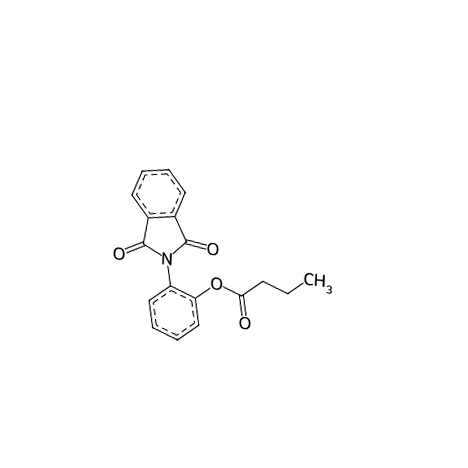 CCCC(=O)Oc1ccccc1N1C(=O)c2ccccc2C1=O